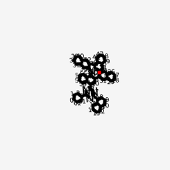 c1ccc(-c2nc(-c3cccc4ccccc34)nc(-c3cc(-c4ccc5ccccc5c4)c(-n4c5cc6ccccc6cc5c5c6ccccc6ccc54)c4ccccc34)n2)cc1